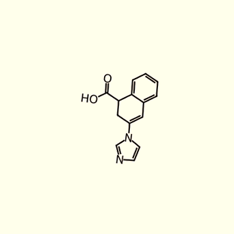 O=C(O)C1CC(n2ccnc2)=Cc2ccccc21